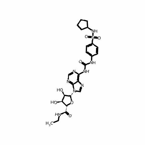 CCNC(=O)[C@H]1O[C@@H](n2cnc3c(NC(=O)Nc4ccc(S(=O)(=O)NC5CCCC5)cc4)ncnc32)[C@H](O)[C@@H]1O